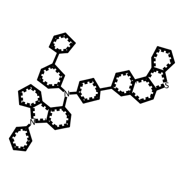 c1ccc(-c2cccc(N(c3ccc(-c4ccc5c(ccc6sc7ccccc7c65)c4)cc3)c3cccc4c3c3ccccc3n4-c3ccccc3)c2)cc1